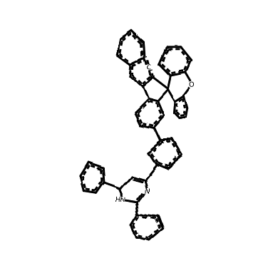 C1=C(c2cccc(-c3ccc4c(c3)C3(c5ccccc5Oc5ccccc53)c3cc5ccccc5cc3-4)c2)N=C(c2ccccc2)NC1c1ccccc1